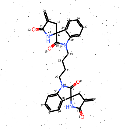 C=C1CC2(NC1=O)C(=O)N(CCCCN1C(=O)C3(CC(=C)C(=O)N3)c3ccccc31)c1ccccc12